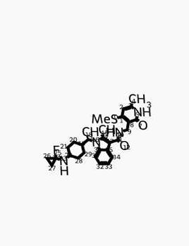 CSc1cc(C)[nH]c(=O)c1CNC(=O)c1c(C)n([C@H](C)C2CCC(NC3(F)CC3)CC2)c2ccccc12